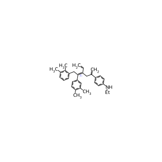 C=C/C(CC(=C)c1ccc(NCC)cc1)=C(\Cc1cccc(C)c1C)c1ccc(C)c(C)c1